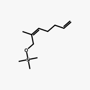 C=CCCC=C(C)CO[Si](C)(C)C